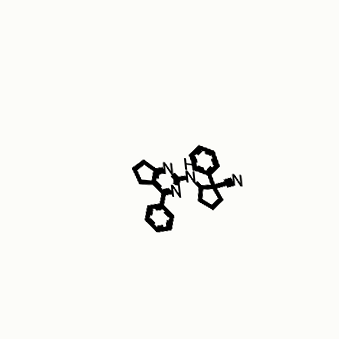 N#CC1(c2ccccc2)CCCC1Nc1nc2c(c(-c3ccccc3)n1)CCC2